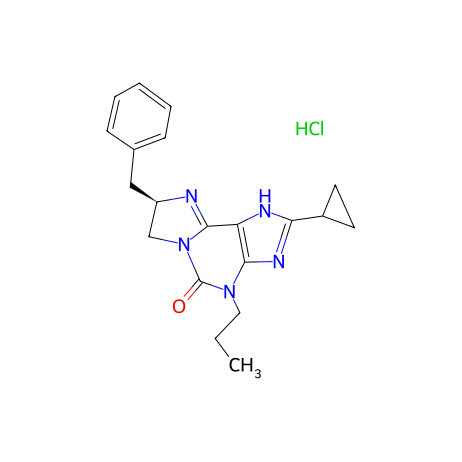 CCCN1C(=O)N2C[C@@H](Cc3ccccc3)N=C2c2[nH]c(C3CC3)nc21.Cl